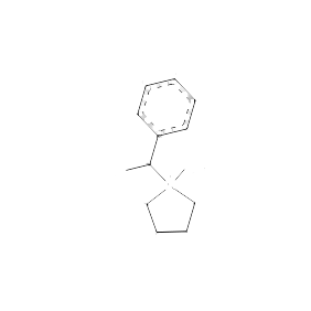 CC(c1ccccc1)[N+]1(C)CCCC1